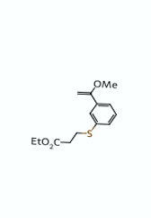 C=C(OC)c1cccc(SCCC(=O)OCC)c1